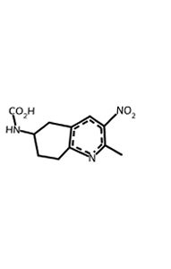 Cc1nc2c(cc1[N+](=O)[O-])CC(NC(=O)O)CC2